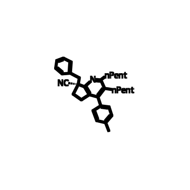 CCCCCc1nc2c(c(-c3ccc(C)cc3)c1CCCCC)CC[C@@]2(C#N)Cc1ccccc1